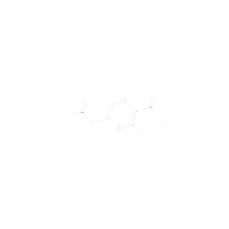 O=C(O)Nc1ccc(C(=O)O)c(F)c1